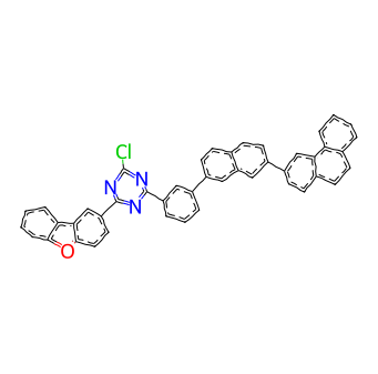 Clc1nc(-c2cccc(-c3ccc4ccc(-c5ccc6ccc7ccccc7c6c5)cc4c3)c2)nc(-c2ccc3oc4ccccc4c3c2)n1